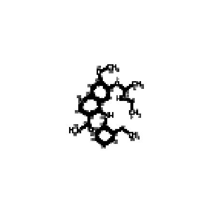 CCNC(C)Oc1cc2c(Nc3ccccc3CC)c(C(N)=O)cnc2cc1OC